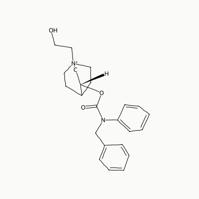 O=C(O[C@H]1C[N+]2(CCO)CCC1CC2)N(Cc1ccccc1)c1ccccc1